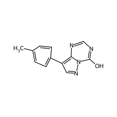 Cc1ccc(-c2cnn3c(O)ncnc23)cc1